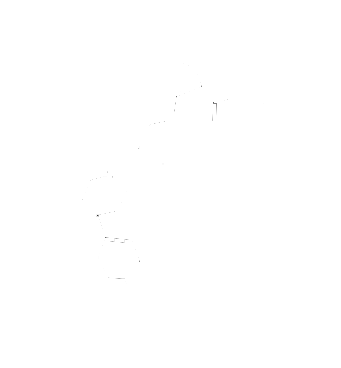 CCOC(=O)c1sccc1OCC(O)CN1CCC(O)(c2ccc(Cl)cc2)CC1